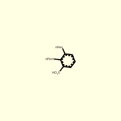 CCCCCCc1cccc(S(=O)(=O)O)c1CCCCC